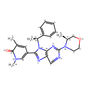 Cc1cc(-c2nc3cnc(N4CCOC[C@@H]4C)nc3n2[C@@H](C)c2ccccc2)cn(C)c1=O